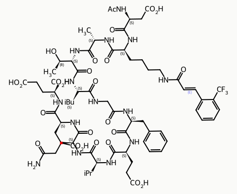 CC[C@H](C)[C@H](NC(=O)[C@@H](NC(=O)[C@H](C)NC(=O)[C@H](CCCCNC(=O)/C=C/c1ccccc1C(F)(F)F)NC(=O)[C@H](CC(=O)O)NC(C)=O)[C@@H](C)O)C(=O)NCC(=O)N[C@@H](Cc1ccccc1)C(=O)N[C@@H](CCC(=O)O)C(=O)N[C@H](C(=O)N[C@@H](CCC(N)=O)C(=O)N[C@@H](CCC(=O)O)C(=O)N[C@@H](CCC(=O)O)C(=O)O)C(C)C